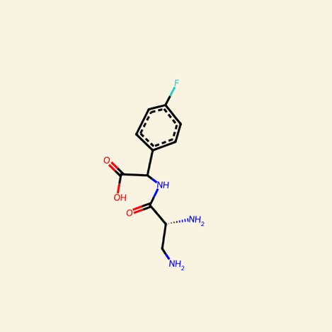 NC[C@@H](N)C(=O)NC(C(=O)O)c1ccc(F)cc1